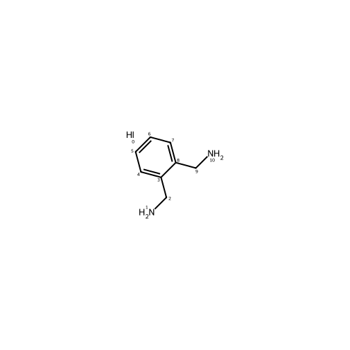 I.NCc1ccccc1CN